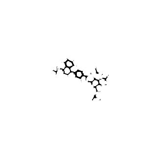 CC(=O)NC1CCC(c2ccc(C(=O)NC3OC(COC(C)=O)[C@H](O)C(OC(C)=O)C3OC(C)=O)cc2)c2ccccc21